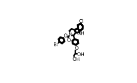 O=C(Oc1ccc(Br)cc1)N1CCc2c([nH]c3ccc(Cl)cc23)C1c1ccc(OCC(O)CO)cc1